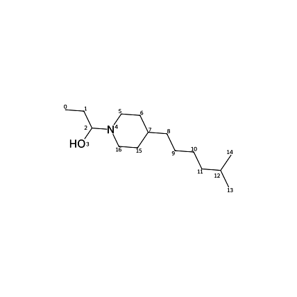 CCC(O)N1CCC(CCCCC(C)C)CC1